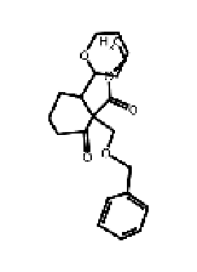 CCOC(=O)C1(COCc2ccccc2)C(=O)CCCC1C1CCCCO1